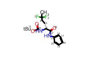 CC(F)(F)CC[C@@H](NC(=O)OC(C)(C)C)C(=O)Nc1ccccc1